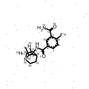 C[C@H]1[C@H](NC(=O)c2c[c]c(F)c(C(N)=O)c2)C2CCN1CC2